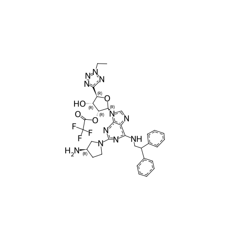 CCn1nnc([C@H]2O[C@@H](n3cnc4c(NCC(c5ccccc5)c5ccccc5)nc(N5CC[C@@H](N)C5)nc43)[C@H](OC(=O)C(F)(F)F)[C@@H]2O)n1